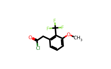 COc1cccc(CC(=O)Cl)c1C(F)(F)F